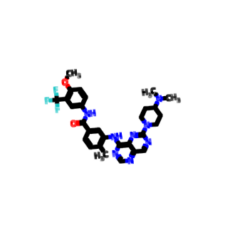 COc1ccc(NC(=O)c2ccc(C)c(Nc3ncnc4cnc(N5CCC(N(C)C)CC5)nc34)c2)cc1C(F)(F)F